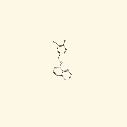 Clc1ccc(COc2cccc3cccnc23)cc1Cl